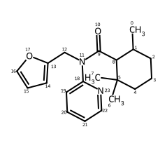 CC1CCCC(C)(C)C1C(=O)N(Cc1ccco1)c1ccccn1